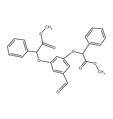 COC(=O)C(Oc1cc([C]=O)cc(OC(C(=O)OC)c2ccccc2)c1)c1ccccc1